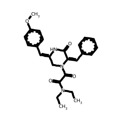 CCN(CC)C(=O)C(=O)N1CC(=Cc2ccc(OC)cc2)NC(=O)C1=Cc1ccccc1